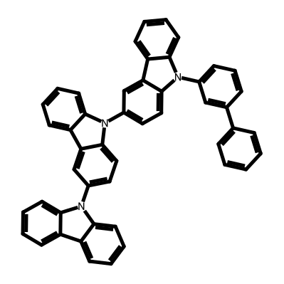 c1ccc(-c2cccc(-n3c4ccccc4c4cc(-n5c6ccccc6c6cc(-n7c8ccccc8c8ccccc87)ccc65)ccc43)c2)cc1